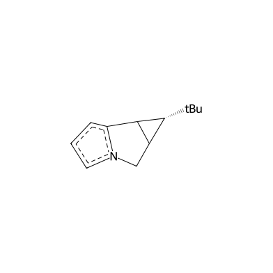 CC(C)(C)[C@@H]1C2Cn3cccc3C21